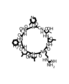 CC[C@H](C)[C@@H]1NC(=O)[C@@H](CCCNC(=N)N)NC(=O)[C@H](CC(C)C)NC(=O)[C@H]([C@H](O)C(C)C)NC(=O)[C@@H](N)[C@@H](c2ccccc2)NC(=O)[C@H](CO)NC(=O)[C@H](Cc2cccnc2)NC(=O)CNC(=O)[C@H]([C@H](C)O)NC1=O